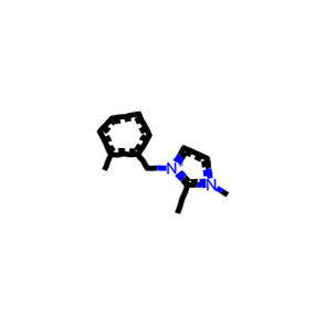 Cc1ccccc1C[n+]1ccn(C)c1C